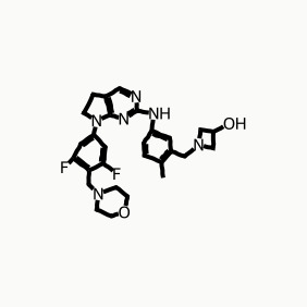 Cc1ccc(Nc2ncc3c(n2)N(c2cc(F)c(CN4CCOCC4)c(F)c2)CC3)cc1CN1CC(O)C1